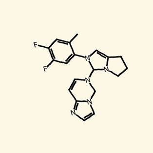 Cc1cc(F)c(F)cc1N1C=C2CCCN2C1N1C=Cc2nccn2C1